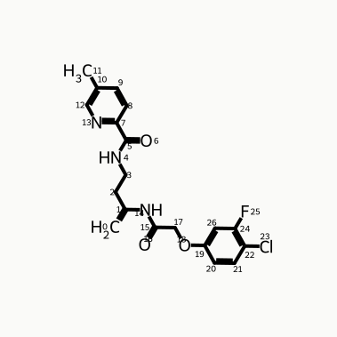 C=C(CCNC(=O)c1ccc(C)cn1)NC(=O)COc1ccc(Cl)c(F)c1